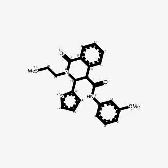 COc1cccc(NC(=O)C2c3ccccc3C(=O)N(CCSC)C2c2cccs2)c1